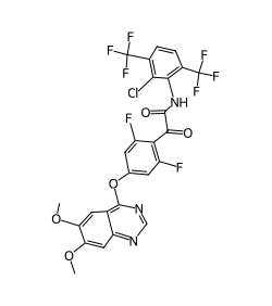 COc1cc2ncnc(Oc3cc(F)c(C(=O)C(=O)Nc4c(C(F)(F)F)ccc(C(F)(F)F)c4Cl)c(F)c3)c2cc1OC